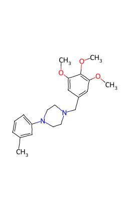 COc1cc(CN2CCN(c3cccc(C)c3)CC2)cc(OC)c1OC